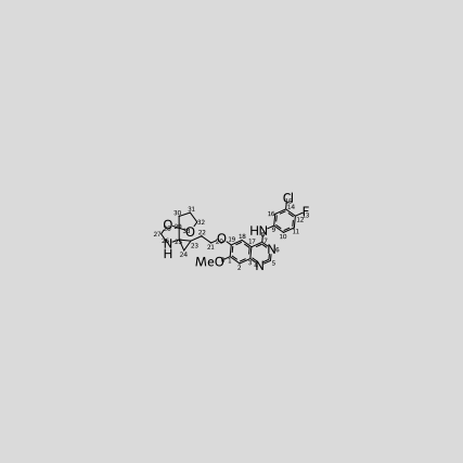 COc1cc2ncnc(Nc3ccc(F)c(Cl)c3)c2cc1OCCC1CC12NCOC21CCCO1